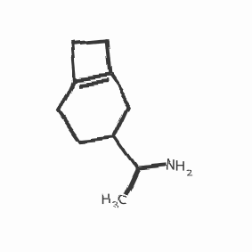 CC(N)C1CCC2=C(CC2)C1